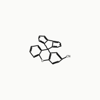 N#Cc1ccc2c(c1)C1(c3ccccc3O2)c2ccccc2-c2ccccc21